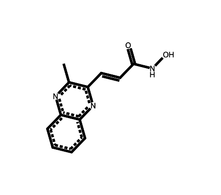 Cc1nc2ccccc2nc1C=CC(=O)NO